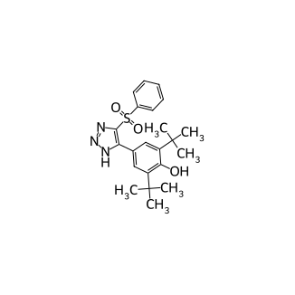 CC(C)(C)c1cc(-c2[nH]nnc2S(=O)(=O)c2ccccc2)cc(C(C)(C)C)c1O